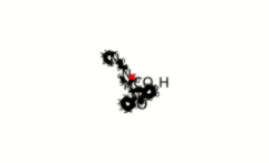 O=C(O)c1c(CN2CCN(CCCN3CCCCC3)CC2)n(-c2ccccc2)c(=O)c2ccccc12